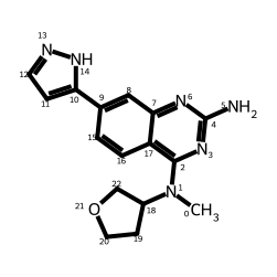 CN(c1nc(N)nc2cc(-c3ccn[nH]3)ccc12)C1CCOC1